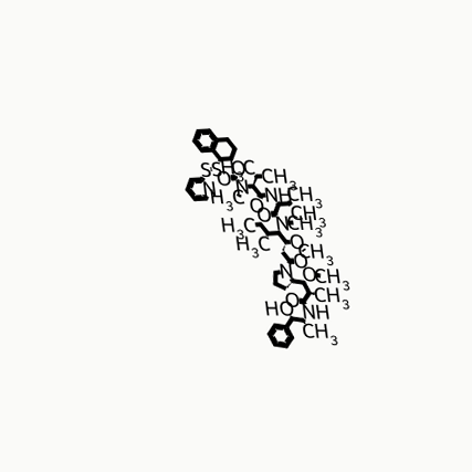 CC[C@H](C)[C@@H]([C@@H](CC(=O)N1CCC[C@H]1[C@H](OC)[C@@H](C)C(=O)N[C@H](C)[C@@H](O)c1ccccc1)OC)N(C)C(=O)C(NC(=O)[C@H](C(C)C)N(C)C(=O)O[C@H]1CCc2ccccc2[C@@H]1SSc1ccccn1)C(C)C